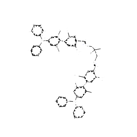 Cc1cc(N(c2ccccc2)c2ccccc2)cc(C)c1-c1cc(O)c(/C=N/CC(C)(C)C/N=C/c2cc(F)c(-c3c(C)cc(N(c4ccccc4)c4ccccc4)cc3C)cc2O)cc1F